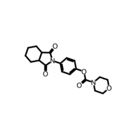 O=C(Oc1ccc(N2C(=O)C3CCCCC3C2=O)cc1)N1CCOCC1